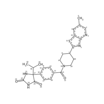 Cc1cnc2nc(C3CCN(C(=O)c4ccc(C5(C(C)C)NC(=O)NC5=O)cc4)CC3)sc2c1